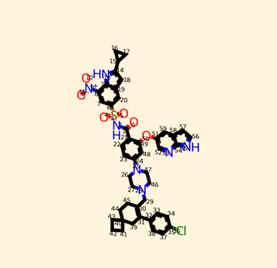 O=C(NS(=O)(=O)c1cc([N+](=O)[O-])c2[nH]c(C3CC3)cc2c1)c1ccc(N2CCN(CC3=C(c4ccc(Cl)cc4)CC4(CCC4)CC3)CC2)cc1Oc1cnc2[nH]ccc2c1